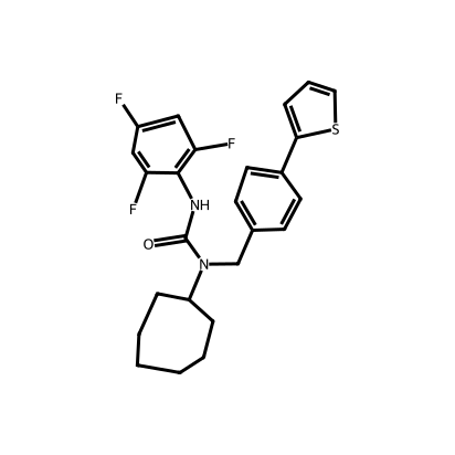 O=C(Nc1c(F)cc(F)cc1F)N(Cc1ccc(-c2cccs2)cc1)C1CCCCCC1